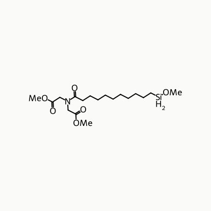 CO[SiH2]CCCCCCCCCCC(=O)N(CC(=O)OC)CC(=O)OC